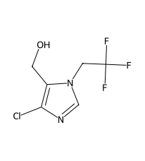 OCc1c(Cl)ncn1CC(F)(F)F